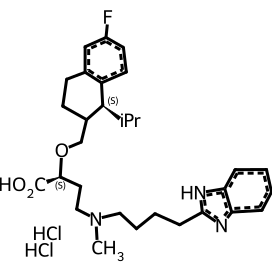 CC(C)[C@@H]1c2ccc(F)cc2CCC1CO[C@@H](CCN(C)CCCCc1nc2ccccc2[nH]1)C(=O)O.Cl.Cl